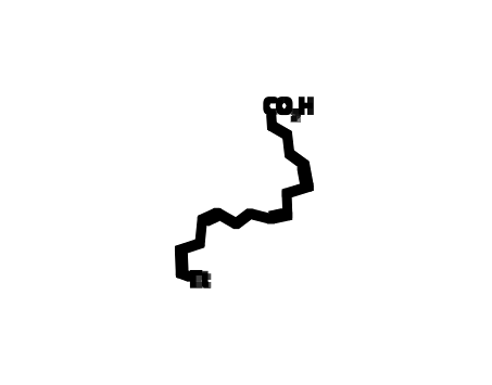 CC/C=C\C/C=C\CC/C=C\C/C=C\CCCC(=O)O